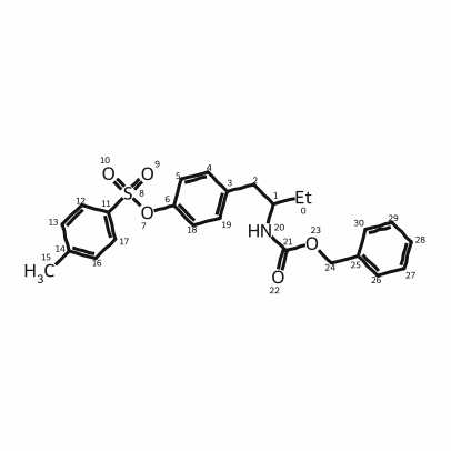 CCC(Cc1ccc(OS(=O)(=O)c2ccc(C)cc2)cc1)NC(=O)OCc1ccccc1